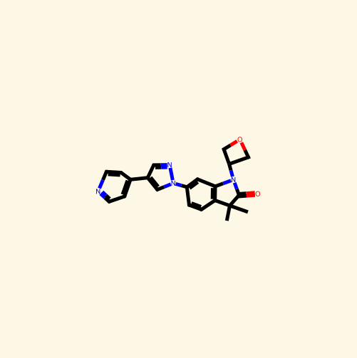 CC1(C)C(=O)N(C2COC2)c2cc(-n3cc(-c4ccncc4)cn3)ccc21